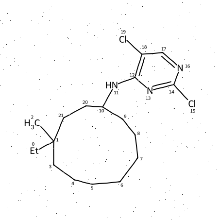 CCC1(C)CCCCCCCC(Nc2nc(Cl)ncc2Cl)CC1